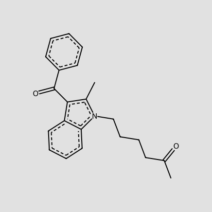 CC(=O)CCCCn1c(C)c(C(=O)c2ccccc2)c2ccccc21